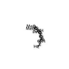 C#CCCCC(=O)NCC(=O)N1CCC(c2ccc3[nH]c(-c4ccc(OC)c(OC)c4)c(C(C)C)c3c2)CC1